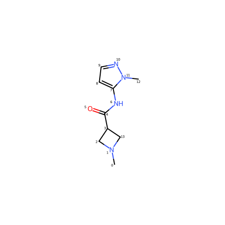 CN1CC(C(=O)Nc2ccnn2C)C1